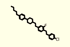 CCCCCc1ccc(C2CCC(CCc3ccc(CCc4ccc(Cl)cc4)c(F)c3)CC2)cc1